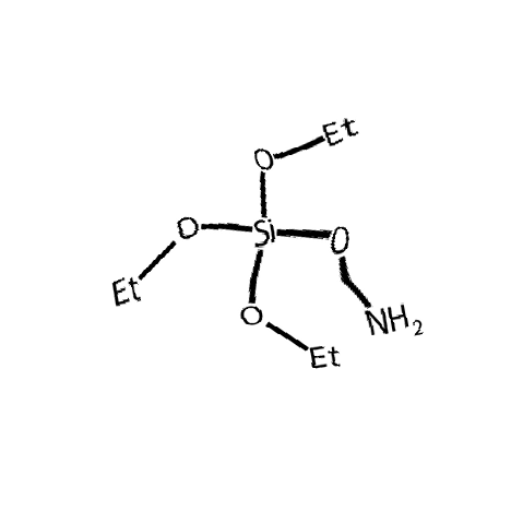 CCO[Si](ON)(OCC)OCC